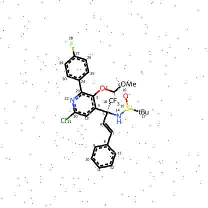 COCOc1c([C@](/C=C/c2ccccc2)(N[S+]([O-])C(C)(C)C)C(F)(F)F)cc(Cl)nc1-c1ccc(F)cc1